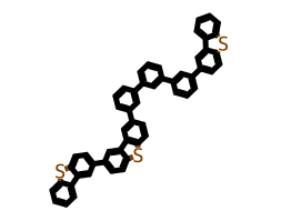 c1cc(-c2cccc(-c3ccc4sc5ccccc5c4c3)c2)cc(-c2cccc(-c3ccc4sc5ccc(-c6ccc7sc8ccccc8c7c6)cc5c4c3)c2)c1